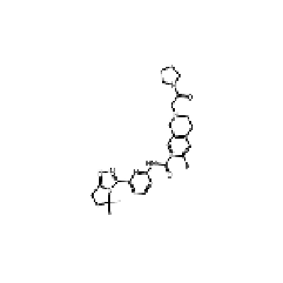 CC1(C)CCc2nnc(-c3cccc(NC(=O)c4cc5c(cc4F)CCN(CC(=O)N4CCCC4)C5)n3)n21